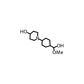 COC(O)C1CCC(N2CCC(O)CC2)CC1